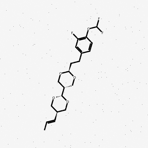 C/C=C/[C@H]1CO[C@H]([C@H]2CO[C@H](CCc3ccc(OC(F)F)c(F)c3)OC2)OC1